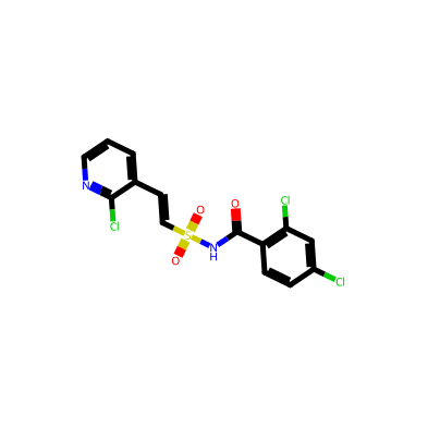 O=C(NS(=O)(=O)C=Cc1cccnc1Cl)c1ccc(Cl)cc1Cl